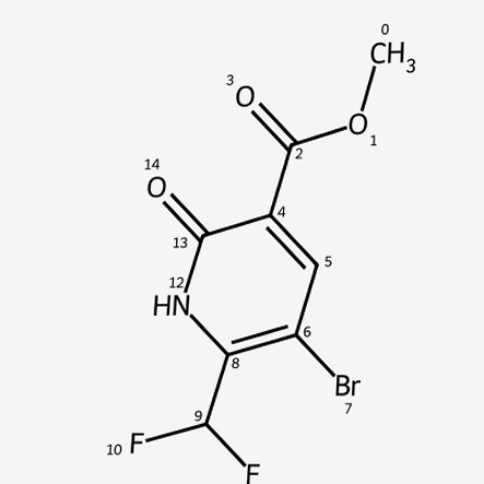 COC(=O)c1cc(Br)c(C(F)F)[nH]c1=O